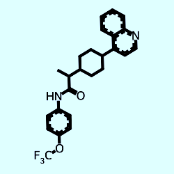 CC(C(=O)Nc1ccc(OC(F)(F)F)cc1)C1CCC(c2ccnc3ccccc23)CC1